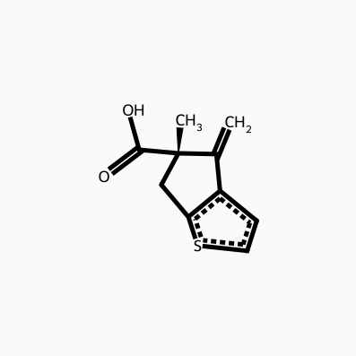 C=C1c2ccsc2C[C@]1(C)C(=O)O